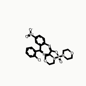 O=[N+]([O-])c1ccc2c(c1)C(c1ccccc1Cl)=NCC(OP(=O)(N1CCOCC1)N1CCOCC1)=N2